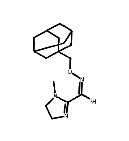 [3H]C(=NOCC12CC3CC(CC(C3)C1)C2)C1=NCCN1C